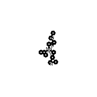 c1ccc(-c2cccc(-c3cccc4oc5c(-c6nc(-c7cc8ccccc8c8ccccc78)nc(-c7cccc8c7sc7cc(-c9cccnc9-c9ccccc9)ccc78)n6)cccc5c34)n2)cc1